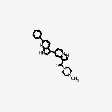 CN1CCN(C(=O)c2cnn3ccc(-c4c[nH]c5nc(-c6ccccc6)ccc45)cc23)CC1